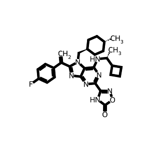 C=C(c1ccc(F)cc1)c1nc2nc(-c3noc(=O)[nH]3)nc(N[C@H](C)C3CCC3)c2n1C[C@H]1CC[C@H](C)CC1